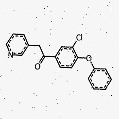 O=C(Cc1cccnc1)c1ccc(Oc2ccccc2)c(Cl)c1